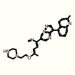 C=N/C(=C\C=C(/C)OCCN1CCNCC1)c1cnc2c(-c3cccc4nc(C)ccc34)cnn2c1